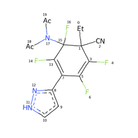 CCC1(C#N)C(F)=C(F)C(c2cc[nH]n2)=C(F)C1(F)N(C(C)=O)C(C)=O